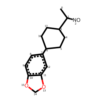 CC(N=O)C1CCC(c2ccc3c(c2)OCO3)CC1